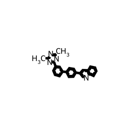 Cc1nc(C)nc(-c2cccc(-c3ccc(-c4cnc5ccccc5c4)cc3)c2)n1